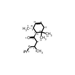 CC(C)SC(C)CC(=O)[C@H]1[C@H](C)C=CCC1(C)C